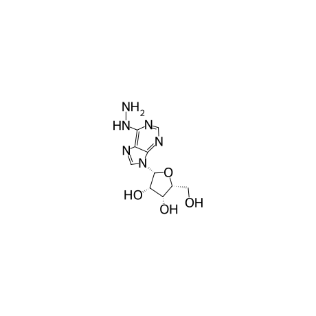 NNc1ncnc2c1ncn2[C@@H]1O[C@H](CO)[C@H](O)[C@@H]1O